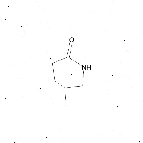 [CH2]C1CCC(=O)NC1